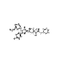 CC1(C(=O)NCc2ccccc2)COC(c2nc(-c3ccc(F)cc3)c(-c3ccnc(N)n3)[nH]2)OC1